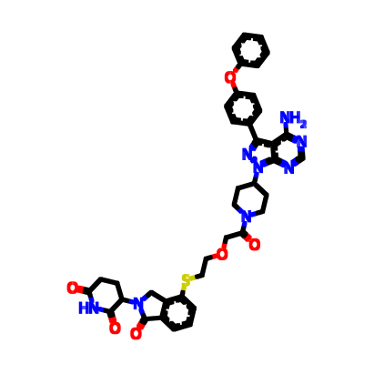 Nc1ncnc2c1c(-c1ccc(Oc3ccccc3)cc1)nn2C1CCN(C(=O)COCCSc2cccc3c2CN(C2CCC(=O)NC2=O)C3=O)CC1